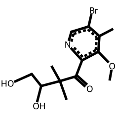 COc1c(C(=O)C(C)(C)C(O)CO)ncc(Br)c1C